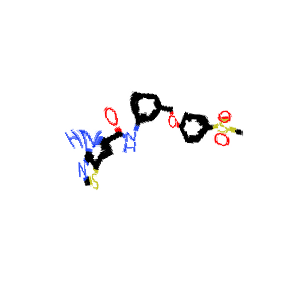 CS(=O)(=O)c1ccc(OCc2cccc(NC(=O)c3cc4scnc4[nH]3)c2)cc1